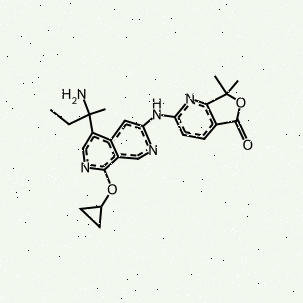 CCC(C)(N)c1cnc(OC2CC2)c2cnc(Nc3ccc4c(n3)C(C)(C)OC4=O)cc12